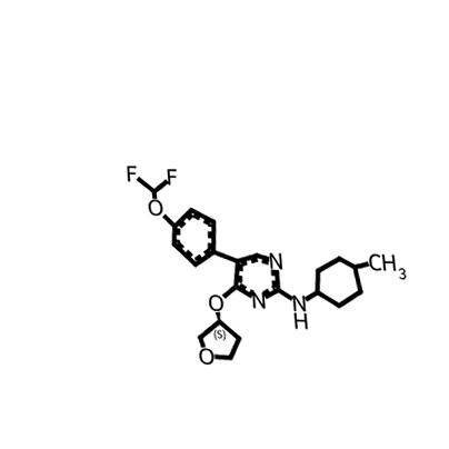 CC1CCC(Nc2ncc(-c3ccc(OC(F)F)cc3)c(O[C@H]3CCOC3)n2)CC1